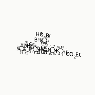 CCOC(=O)CC1CCC(N2CCN(C(=O)C(Cc3cc(Br)c(O)c(Br)c3)OC(=O)N3CCC(C4=[N+]([O-])N(I)c5ccccc5CC4)CC3)CC2)CC1